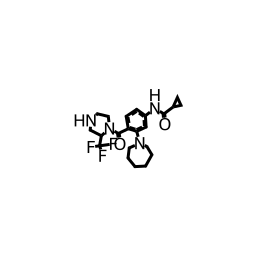 O=C(Nc1ccc(C(=O)N2CCNCC2C(F)(F)F)c(N2CCCCCC2)c1)C1CC1